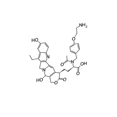 CCc1c2c(nc3ccc(O)cc13)C1=CC3=C(COC(=O)[C@@H]3CC[C@H](C(=O)O)N(Cc3ccc(OCCN)cc3)C(C)=O)C(O)N1C2